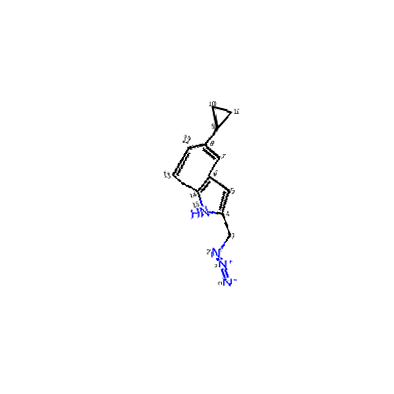 [N-]=[N+]=NCc1cc2cc(C3CC3)ccc2[nH]1